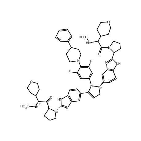 O=C(O)NC(C(=O)N1CCCC1c1nc2cc([C@H]3CC=C(c4ccc5[nH]c([C@@H]6CCCN6C(=O)[C@@H](NC(=O)O)C6CCOCC6)nc5c4)N3c3cc(F)c(N4CCC(c5ccccc5)CC4)c(F)c3)ccc2[nH]1)C1CCOCC1